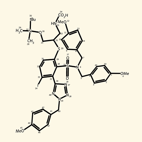 COc1ccc(CN(Cc2ccc(OC)cc2)S(=O)(=O)c2c(SC(CNC(=O)O)CO[Si](C)(C)C(C)(C)C)ccc(I)c2-c2nnn(Cc3ccc(OC)cc3)n2)cc1